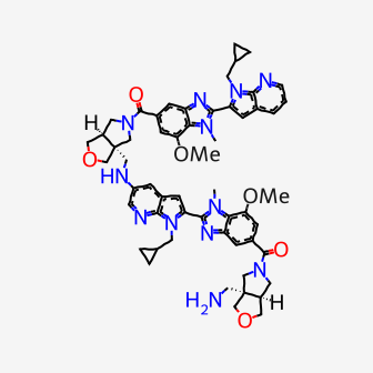 COc1cc(C(=O)N2C[C@H]3COC[C@@]3(CN)C2)cc2nc(-c3cc4cc(NC[C@]56COC[C@H]5CN(C(=O)c5cc(OC)c7c(c5)nc(-c5cc8cccnc8n5CC5CC5)n7C)C6)cnc4n3CC3CC3)n(C)c12